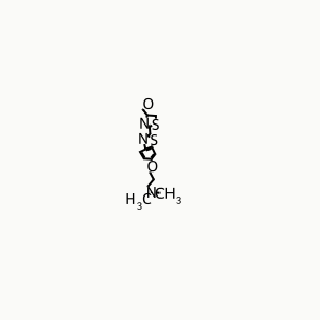 CN(C)CCCOc1ccc2nc(C3=NC(C=O)CS3)sc2c1